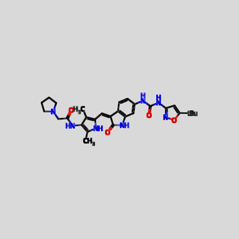 Cc1[nH]c(C=C2C(=O)Nc3cc(NC(=O)Nc4cc(C(C)(C)C)on4)ccc32)c(C)c1NC(=O)CN1CCCC1